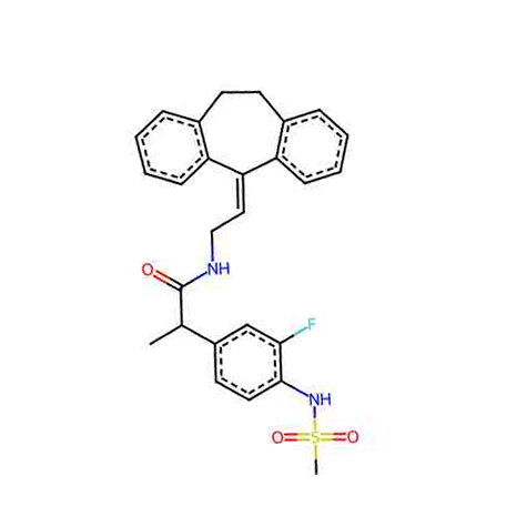 CC(C(=O)NCC=C1c2ccccc2CCc2ccccc21)c1ccc(NS(C)(=O)=O)c(F)c1